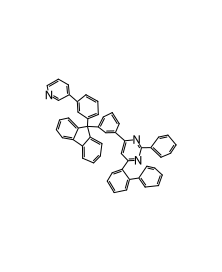 c1ccc(-c2nc(-c3cccc(C4(c5cccc(-c6cccnc6)c5)c5ccccc5-c5ccccc54)c3)cc(-c3ccccc3-c3ccccc3)n2)cc1